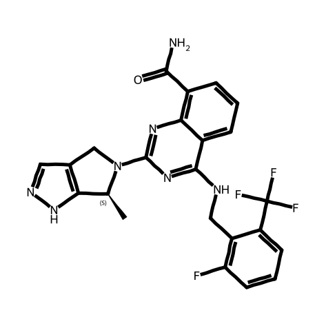 C[C@H]1c2[nH]ncc2CN1c1nc(NCc2c(F)cccc2C(F)(F)F)c2cccc(C(N)=O)c2n1